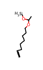 C=CCCCCCCOC(C)O[SiH3]